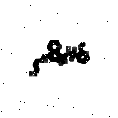 COc1ncccc1S(=O)(=O)Nc1noc2cc(CN/C=C\C=N)c3c(c12)OCCC3